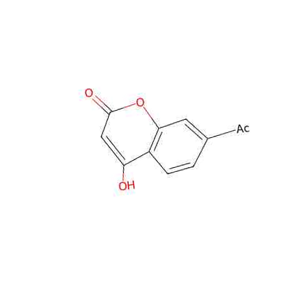 CC(=O)c1ccc2c(O)cc(=O)oc2c1